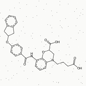 O=C(O)CCCN1CC(C(=O)O)Oc2c(NC(=O)c3ccc(OC4Cc5ccccc5C4)cc3)cccc21